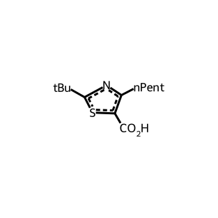 CCCCCc1nc(C(C)(C)C)sc1C(=O)O